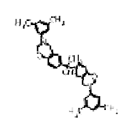 Cc1cc(C)cc(N2COc3ccc(C(C)(C)c4ccc5c(c4)CN(c4cc(C)cc(C)c4)CO5)cc3C2)c1